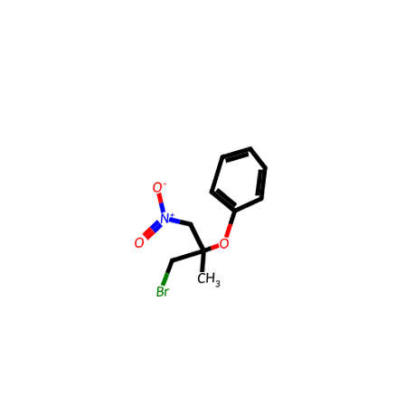 CC(CBr)(C[N+](=O)[O-])Oc1ccccc1